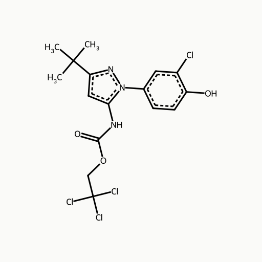 CC(C)(C)c1cc(NC(=O)OCC(Cl)(Cl)Cl)n(-c2ccc(O)c(Cl)c2)n1